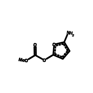 COC(=O)Oc1ccc(N)o1